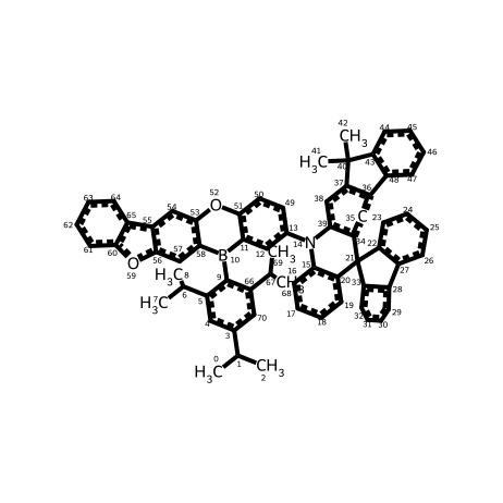 CC(C)c1cc(C(C)C)c(B2c3cc(N4c5ccccc5C5(c6ccccc6-c6ccccc65)c5cc6c(cc54)C(C)(C)c4ccccc4-6)ccc3Oc3cc4c(cc32)oc2ccccc24)c(C(C)C)c1